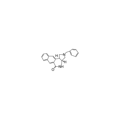 O=C1NC[C@H]2CN(Cc3ccccc3)C[C@@H]2c2cc3ccccc3cc21